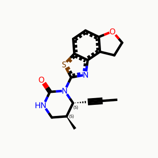 CC#C[C@@H]1[C@@H](C)CNC(=O)N1c1nc2c3c(ccc2s1)OCC3